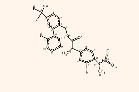 CC(C(=O)NCc1ccc(C(F)(F)F)nc1-c1ccccc1F)c1ccc(N(C)[SH](=O)=O)c(F)c1